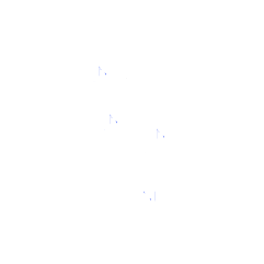 CNC1CCN(c2cccc(N)c2N)C1